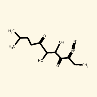 CCC(=[N+]=[N-])C(=O)C(O)C(O)C(=O)CCC(C)C